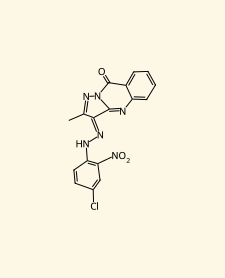 CC1=Nn2c(nc3ccccc3c2=O)/C1=N/Nc1ccc(Cl)cc1[N+](=O)[O-]